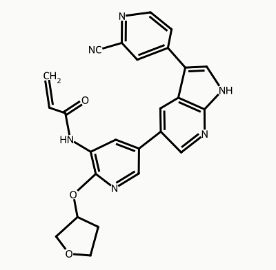 C=CC(=O)Nc1cc(-c2cnc3[nH]cc(-c4ccnc(C#N)c4)c3c2)cnc1OC1CCOC1